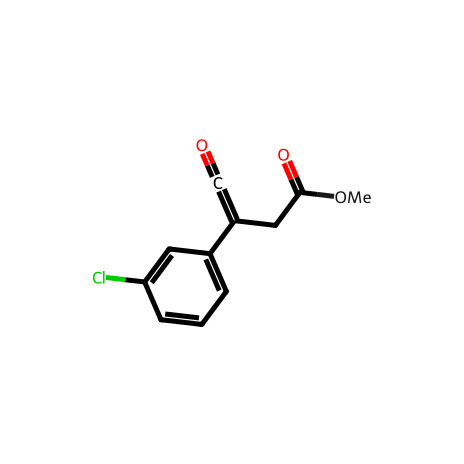 COC(=O)CC(=C=O)c1cccc(Cl)c1